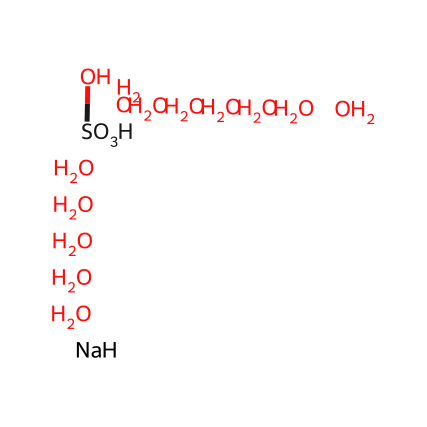 O.O.O.O.O.O.O.O.O.O.O.O.O=S(=O)(O)O.[NaH]